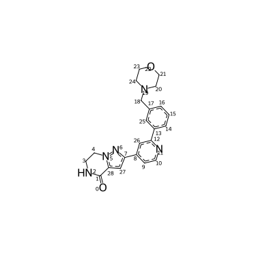 O=C1NCCn2nc(-c3ccnc(-c4cccc(CN5CCOCC5)c4)c3)cc21